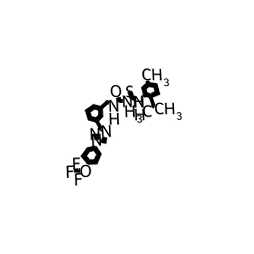 Cc1ccc(C(C)C)c(NC(=S)NC(=O)NCc2cccc(-c3ncn(-c4ccc(OC(F)(F)F)cc4)n3)c2)c1